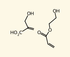 C=C(CO)C(=O)O.C=CC(=O)OCCO